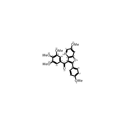 COc1ccc(-c2oc3cc(OC)cnc3c2C(=O)c2cc(OC)c(OC)c(OC)c2)cc1